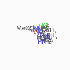 COc1ccc(NC(=O)c2nc(N[C@H]3CCCC[C@H]3NC(=N)c3ccccc3N(C)C)c3cc(C)ccc3n2)cc1.Cl.Cl.Cl